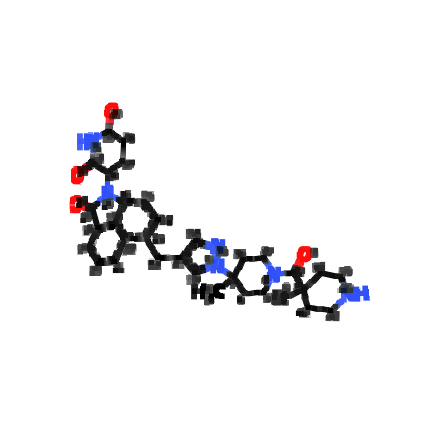 CCC1(C(=O)N2CCC(C)(n3cc(Cc4ccc5c6c(cccc46)C(=O)N5C4CCC(=O)NC4=O)cn3)CC2)CCNCC1